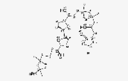 CCCC(C)(C)CC(C)(C)CCC[C@H](O)[C@H]1CC[C@H]([C@H]2CC[C@H]([C@H](O)CCC(C)(C)CC(C)(C)CC(O)CC3=C[C@H](C)OC3=O)O2)O1